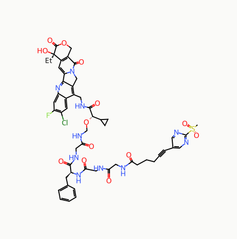 CC[C@@]1(O)C(=O)OCc2c1cc1n(c2=O)Cc2c-1nc1cc(F)c(Cl)cc1c2CNC(=O)[C@@H](OCNC(=O)CNC(=O)[C@H](Cc1ccccc1)NC(=O)CNC(=O)CNC(=O)CCCC#Cc1cnc(S(C)(=O)=O)nc1)C1CC1